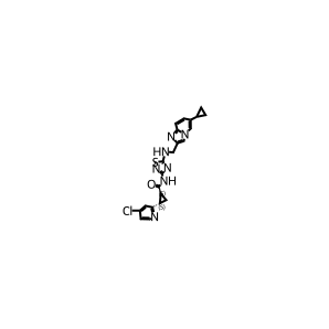 O=C(Nc1nsc(NCc2cn3cc(C4CC4)ccc3n2)n1)[C@H]1C[C@@H]1c1cc(Cl)ccn1